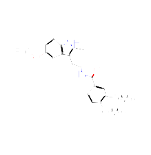 COc1ccc(C(=O)NCCc2c(C)[nH]c3ccc(OC(F)(F)F)cc23)cc1OC